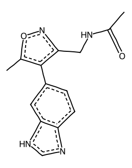 CC(=O)NCc1noc(C)c1-c1ccc2nc[nH]c2c1